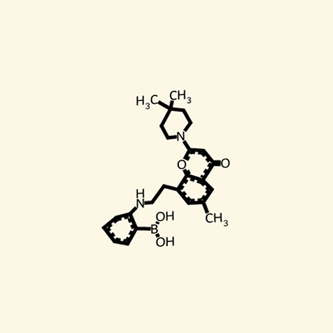 Cc1cc(CCNc2ccccc2B(O)O)c2oc(N3CCC(C)(C)CC3)cc(=O)c2c1